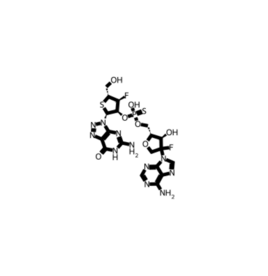 Nc1nc2c(nnn2[C@@H]2S[C@H](CO)[C@@H](F)[C@H]2OP(O)(=S)OC[C@H]2OCC(F)(n3cnc4c(N)ncnc43)[C@@H]2O)c(=O)[nH]1